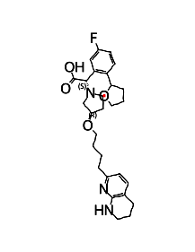 O=C(O)[C@H](c1cc(F)ccc1C1CCCO1)N1CC[C@@H](OCCCCc2ccc3c(n2)NCCC3)C1